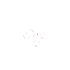 CO[N+](c1ccccc1[N+](=O)[O-])c1ccccc1[N+](=O)[O-]